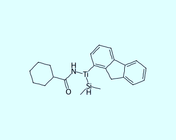 C[SiH](C)[Ti]([NH]C(=O)C1CCCCC1)[c]1cccc2c1Cc1ccccc1-2